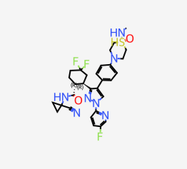 CN[SH]1(=O)CCN(c2ccc(-c3cn(-c4ccc(F)cn4)nc3[C@@H]3CC(F)(F)CC[C@H]3C(=O)NC3(C#N)CC3)cc2)CC1